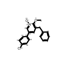 COc1c(Cc2ccccc2)cc(-c2ccc(Cl)cc2)c[n+]1[O-]